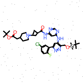 CC(C)(C)OC(=O)CC1CCN(C2CC(C(=O)Nc3cc(Nc4cc(-c5cc(Cl)ccc5F)nnc4CO[Si](C)(C)C(C)(C)C)ncn3)C2)CC1